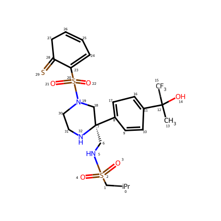 CC(C)CS(=O)(=O)NC[C@@]1(c2ccc(C(C)(O)C(F)(F)F)cc2)CN(S(=O)(=O)C2=CC=CCC2=S)CCN1